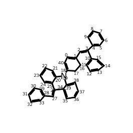 C1=C(C=C(c2ccccc2)c2ccccc2)CCC(N2c3ccccc3C(=Cc3ccccc3)c3ccccc32)=C1